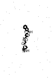 O=C(Cc1nnc(-c2cnc(NC3Cc4ccccc4C3)c(F)c2)o1)N1CCc2[nH]nnc2C1